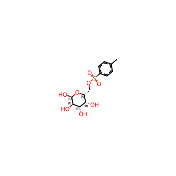 Cc1ccc(S(=O)(=O)OC[C@H]2O[C@H](O)[C@H](O)[C@@H](O)[C@H]2O)cc1